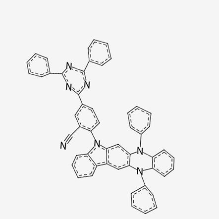 N#Cc1cc(-c2nc(-c3ccccc3)nc(-c3ccccc3)n2)ccc1-n1c2ccccc2c2cc3c(cc21)N(c1ccccc1)c1ccccc1N3c1ccccc1